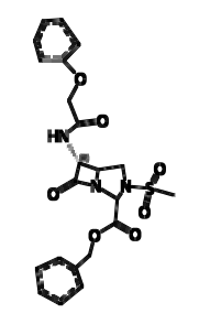 CS(=O)(=O)N1CC2[C@@H](NC(=O)COc3ccccc3)C(=O)N2C1C(=O)OCc1ccccc1